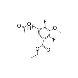 CC(=O)O.CCOC(=O)c1cc(F)c(F)c(OC)c1F